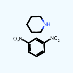 C1CCNCC1.O=[N+]([O-])c1cccc([N+](=O)[O-])c1